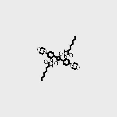 CCCCCCCC(=O)NC1=CC(=[N+]2CCOCC2)C=C/C1=C1\C(=O)C(c2ccc(N3CCOCC3)cc2NC(=O)CCCCCCC)=C1[O-]